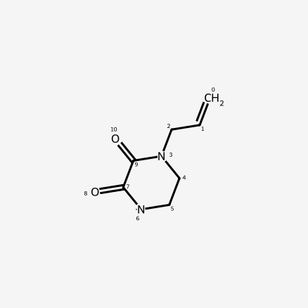 C=CCN1CC[N]C(=O)C1=O